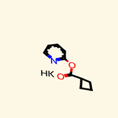 O=C(Oc1ccccn1)C1CCC1.[KH]